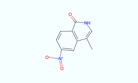 Cc1c[nH]c(=O)c2ccc([N+](=O)[O-])cc12